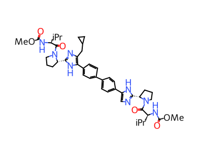 COC(=O)N[C@H](C(=O)N1CCC[C@H]1c1ncc(-c2ccc(-c3ccc(-c4[nH]c([C@@H]5CCCN5C(=O)[C@@H](NC(=O)OC)C(C)C)nc4CC4CC4)cc3)cc2)[nH]1)C(C)C